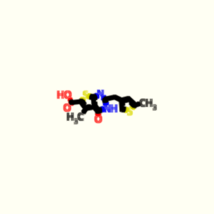 Cc1cc(Cc2nc3sc(C(=O)O)c(C)c3c(=O)[nH]2)cs1